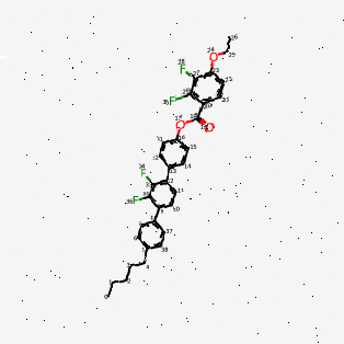 CCCCCc1ccc(-c2ccc(-c3ccc(OC(=O)c4ccc(OCC)c(F)c4F)cc3)c(F)c2F)cc1